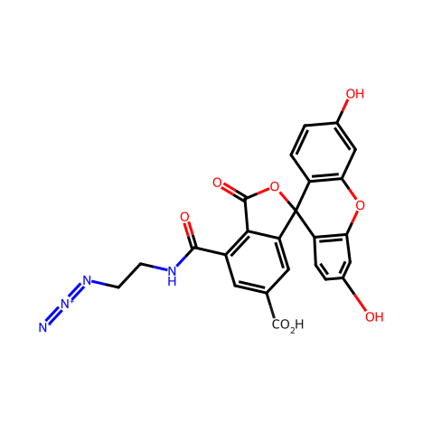 [N-]=[N+]=NCCNC(=O)c1cc(C(=O)O)cc2c1C(=O)OC21c2ccc(O)cc2Oc2cc(O)ccc21